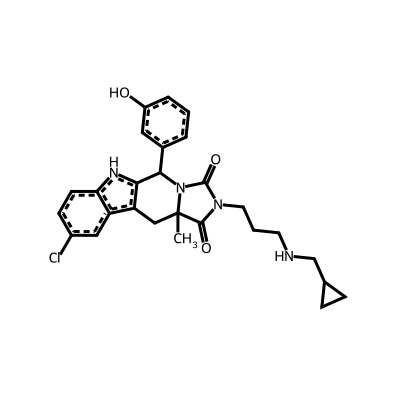 CC12Cc3c([nH]c4ccc(Cl)cc34)C(c3cccc(O)c3)N1C(=O)N(CCCNCC1CC1)C2=O